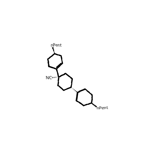 CCCCCC1CCC([C@H]2CC[C@](C#N)(C3=CC[C@H](CCCCC)CC3)CC2)CC1